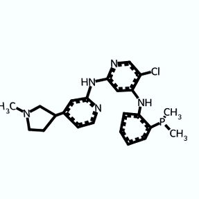 CN1CCC(c2ccnc(Nc3cc(Nc4ccccc4P(C)C)c(Cl)cn3)c2)C1